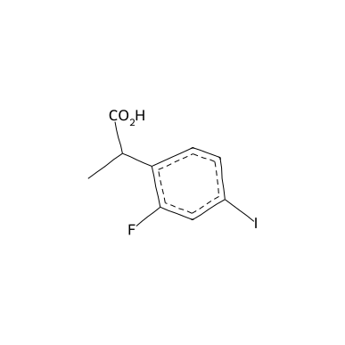 CC(C(=O)O)c1ccc(I)cc1F